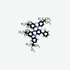 CC(C)(C)c1ccc(N2c3ccc(C(C)(C)C)cc3B3c4c2cc(-c2ccccc2F)cc4-n2c4ccc(C(C)(C)C)cc4c4cc(C(C)(C)C)cc3c42)cc1